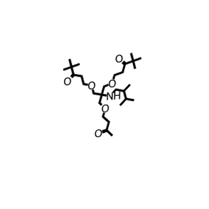 CC(=O)CCOCC(COCCC(=O)C(C)(C)C)(COCCC(=O)C(C)(C)C)NCC(C)C(C)C